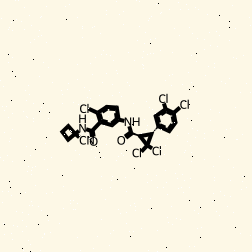 N#CC1(NC(=O)c2cc(NC(=O)[C@H]3[C@H](c4ccc(Cl)c(Cl)c4)C3(Cl)Cl)ccc2Cl)CCC1